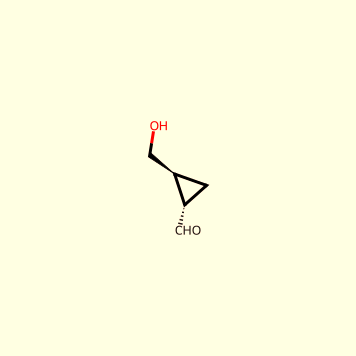 O=C[C@H]1C[C@@H]1CO